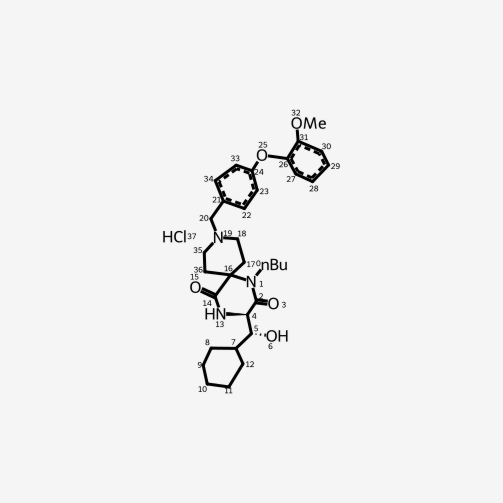 CCCCN1C(=O)[C@@H]([C@H](O)C2CCCCC2)NC(=O)C12CCN(Cc1ccc(Oc3ccccc3OC)cc1)CC2.Cl